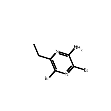 CCc1nc(N)c(Br)nc1Br